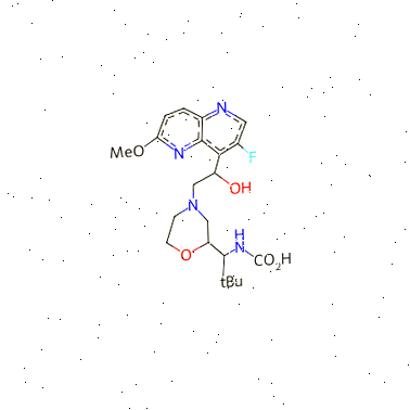 COc1ccc2ncc(F)c(C(O)CN3CCOC(C(NC(=O)O)C(C)(C)C)C3)c2n1